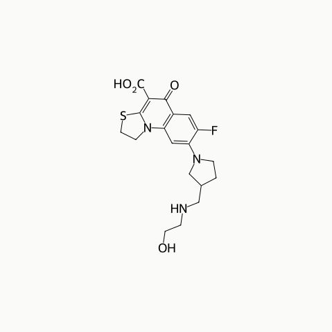 O=C(O)c1c2n(c3cc(N4CCC(CNCCO)C4)c(F)cc3c1=O)CCS2